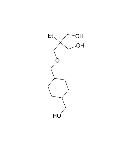 CCC(CO)(CO)COCC1CCC(CO)CC1